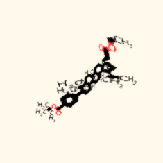 C=C(C)[C@@H]1CC[C@]2(/C=C/C(=O)OCC)CC[C@]3(C)[C@H](CC[C@@H]4[C@@]5(C)CC=C(c6ccc(C(=O)OC(C)(C)C)cc6)C(C)(C)[C@@H]5CC[C@]43C)[C@@H]12